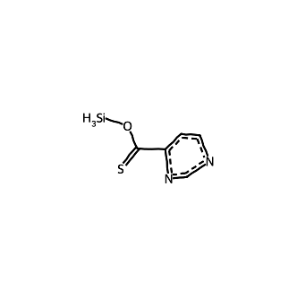 [SiH3]OC(=S)c1ccncn1